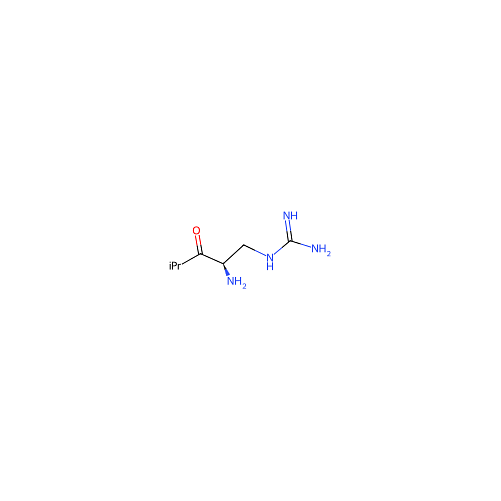 CC(C)C(=O)[C@H](N)CNC(=N)N